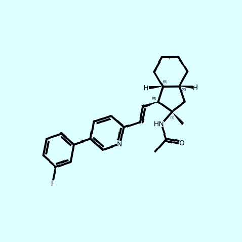 CC(=O)N[C@@]1(C)C[C@H]2CCCC[C@H]2[C@@H]1C=Cc1ccc(-c2cccc(F)c2)cn1